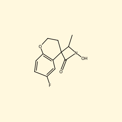 CC1N(O)C(=O)C12CCOc1ccc(F)cc12